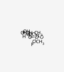 Cc1cc(F)ccc1-c1cc(-c2ccccc2)nc(C(C)C)c1C#COC(=O)CC(O)C[PH](=O)O